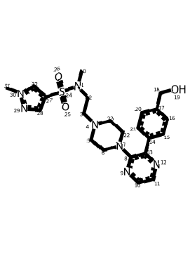 CN(CCN1CCN(c2nccnc2-c2ccc(CO)cc2)CC1)S(=O)(=O)c1cnn(C)c1